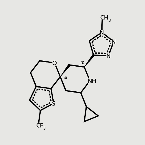 Cn1cc([C@@H]2C[C@]3(CC(C4CC4)N2)OCCc2cc(C(F)(F)F)sc23)nn1